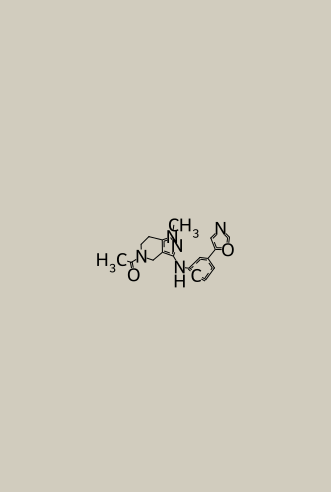 CC(=O)N1CCc2c(c(Nc3cccc(-c4cnco4)c3)nn2C)C1